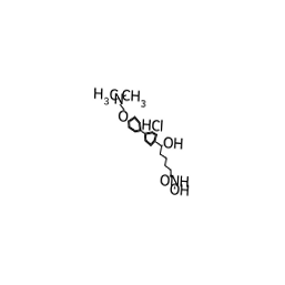 CN(C)CCOc1ccc(-c2ccc([C@H](O)CCCCC(=O)NO)cc2)cc1.Cl